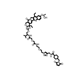 CCc1c2c(nc3ccc(OB(C)O)cc13)-c1cc3c(c(=O)n1C2)COC(=O)C3(CC)OC(=O)OCC(NC(=O)COCC(=O)NCCOCCn1cc(CNC(=O)C2CCC(CN3C(=O)C=CC3=O)CC2)nn1)C(C)C